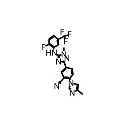 Cc1cn(-c2ccc(-c3nc(Nc4cc(C(F)(F)F)ccc4F)n(C)n3)cc2C#N)cn1